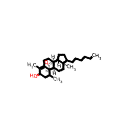 CCCCCCC1CC[C@H]2[C@@H]3CCC4=C(C)C(O)CC(C)[C@]4(C=O)[C@@H]3CC[C@]12C